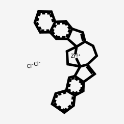 C1=C2CCC3=Cc4cc5ccccc5cc4[C]34CC[C]2([Zr+2]4)c2cc3ccccc3cc21.[Cl-].[Cl-]